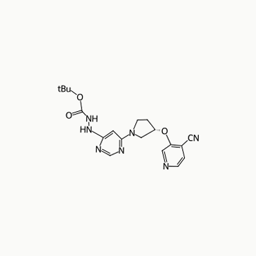 CC(C)(C)OC(=O)NNc1cc(N2CC[C@H](Oc3cnccc3C#N)C2)ncn1